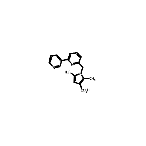 Cc1cc(C(=O)O)c(C)n1Cc1cccc(-c2cccnc2)n1